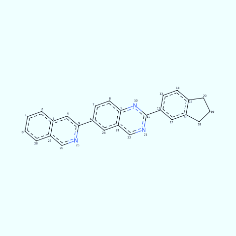 c1ccc2cc(-c3ccc4nc(-c5ccc6c(c5)CCC6)ncc4c3)ncc2c1